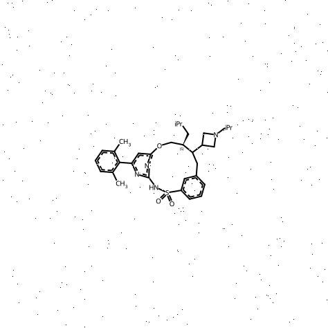 Cc1cccc(C)c1-c1cc2nc(n1)NS(=O)(=O)c1cccc(c1)CC(C1CN(C(C)C)C1)[C@H](CC(C)C)CO2